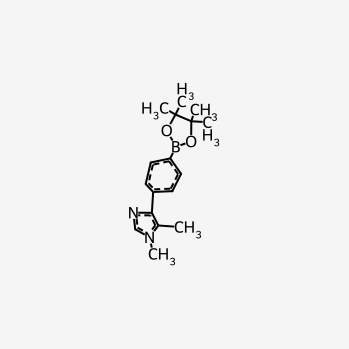 Cc1c(-c2ccc(B3OC(C)(C)C(C)(C)O3)cc2)ncn1C